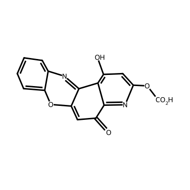 O=C(O)Oc1cc(O)c2c3nc4ccccc4oc-3cc(=O)c2n1